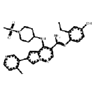 CCc1cc(O)ccc1/N=C(\N)c1cnn2cc(-c3cnccc3C)cc2c1NC1CCN(S(C)(=O)=O)CC1